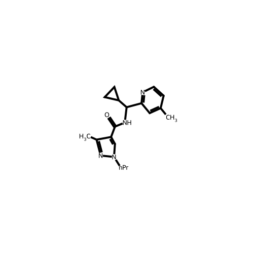 CCCn1cc(C(=O)NC(c2cc(C)ccn2)C2CC2)c(C)n1